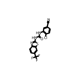 N#Cc1ccc(Cl)c(NC(=O)Nc2nc3ccc(C(F)(F)F)cc3s2)c1